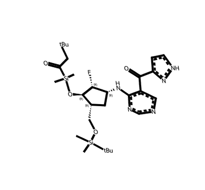 CC(C)(C)CC(=O)[Si](C)(C)O[C@@H]1[C@@H](CO[Si](C)(C)C(C)(C)C)C[C@@H](Nc2ncncc2C(=O)c2cc[nH]n2)[C@H]1F